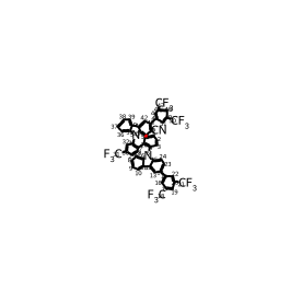 N#Cc1ccc(-n2c3ccccc3c3cc(-c4cc(C(F)(F)F)cc(C(F)(F)F)c4)ccc32)c(-c2ccc(C(F)(F)F)cc2-n2c3ccccc3c3cc(-c4cc(C(F)(F)F)cc(C(F)(F)F)c4)ccc32)c1